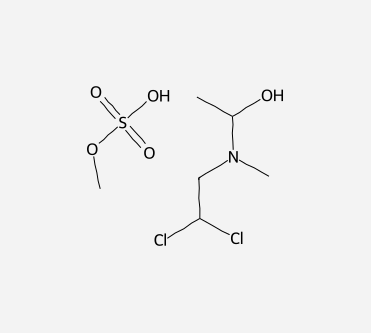 CC(O)N(C)CC(Cl)Cl.COS(=O)(=O)O